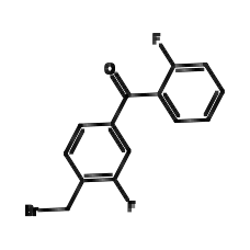 O=C(c1ccc(CBr)c(F)c1)c1ccccc1F